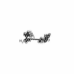 COc1cc(-c2cn(C)c(=O)c3cnc(NCCCCCCCCN(C(=O)O)C(=O)COc4cccc5c4C(=O)N(C4CCC(=O)NC4=O)C5=O)cc23)cc(OC)c1CN(C)C